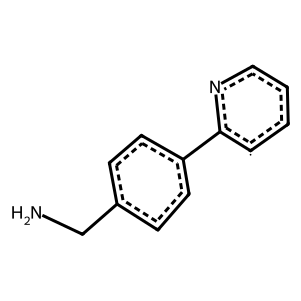 NCc1ccc(-c2[c]cccn2)cc1